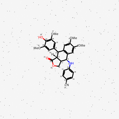 COc1cc2c(cc1OC)[C@@H](Nc1ccc(C#N)cc1)C1COC(=O)[C@@H]1C2c1cc(OC)c(O)c(OC)c1